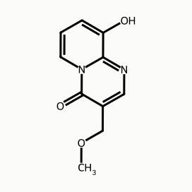 COCc1cnc2c(O)cccn2c1=O